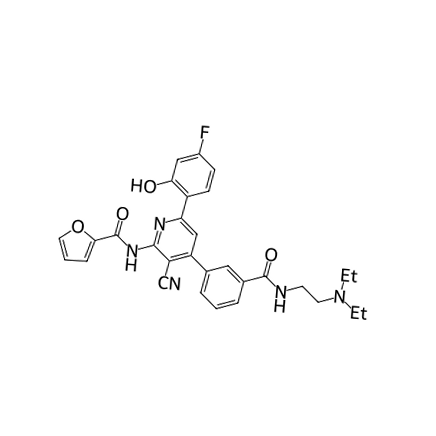 CCN(CC)CCNC(=O)c1cccc(-c2cc(-c3ccc(F)cc3O)nc(NC(=O)c3ccco3)c2C#N)c1